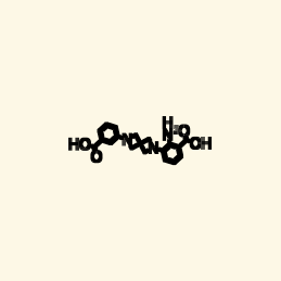 Nc1c(C(=O)O)cccc1N1CC2(CN(c3cccc(C(=O)O)c3)C2)C1